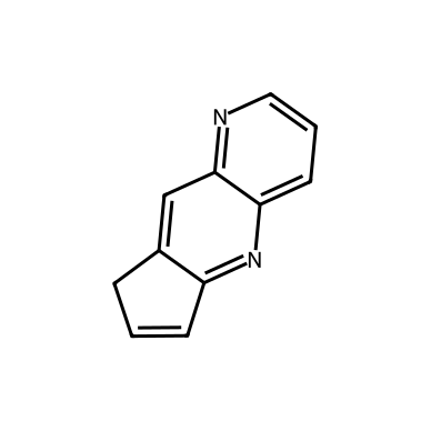 C1=Cc2nc3cccnc3cc2C1